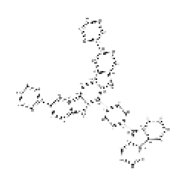 c1ccc(-c2ccc3oc4c(-c5ccc(-n6c7ccccc7c7ccccc76)cc5)c5oc6ccc(-c7ccccc7)cc6c5cc4c3c2)cc1